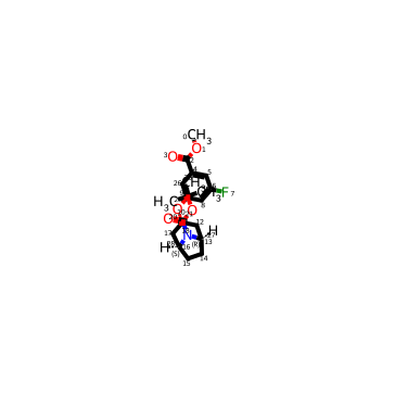 COC(=O)c1cc(F)cc(O[C@H]2C[C@H]3CC[C@@H](C2)N3C(=O)OC(C)(C)C)c1